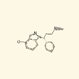 CNCCC(c1ccccc1)n1ncc2c(Cl)cccc21